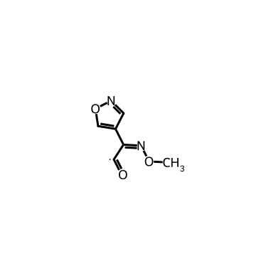 CON=C([C]=O)c1cnoc1